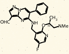 CNC[C@H](C)Oc1ncc(F)cc1CNc1nc2c(C=O)cnn2cc1-c1ccccc1